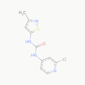 Cc1cc(NC(=O)Nc2ccnc(Cl)c2)sn1